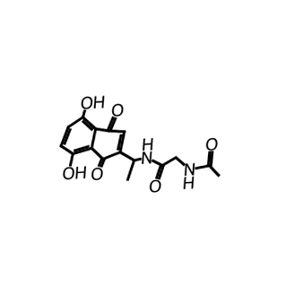 CC(=O)NCC(=O)NC(C)C1=CC(=O)c2c(O)ccc(O)c2C1=O